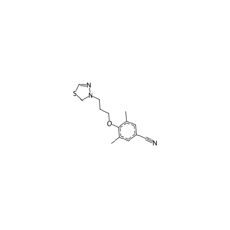 Cc1cc(C#N)cc(C)c1OCCCN1CSC=N1